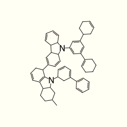 CC1CCC2C3=C(C(C4=CC5C6C=CC=CC6N(c6cc(C7=CCCCC7)cc(C7CC=CCC7)c6)C5C=C4)CC=C3)N(C3C=CC=C(c4ccccc4)C3)C2C1